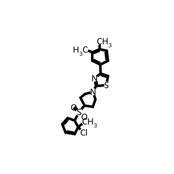 Cc1ccc(-c2csc(N3CCC(S(=O)(=O)C4C=CC=CC4(C)Cl)CC3)n2)cc1C